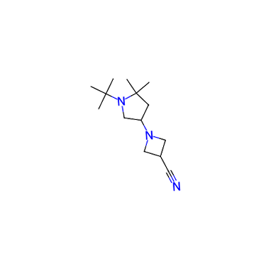 CC(C)(C)N1CC(N2CC(C#N)C2)CC1(C)C